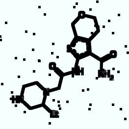 CCC1CNCCN1CC(=O)Nc1sc2c(c1C(N)=O)CCOC2